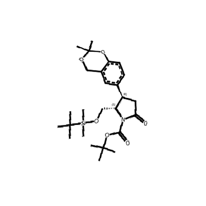 CC(C)(C)OC(=O)N1C(=O)C[C@H](c2ccc3c(c2)COC(C)(C)O3)[C@H]1CO[Si](C)(C)C(C)(C)C